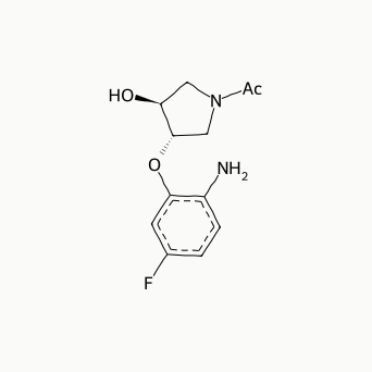 CC(=O)N1C[C@H](Oc2cc(F)ccc2N)[C@@H](O)C1